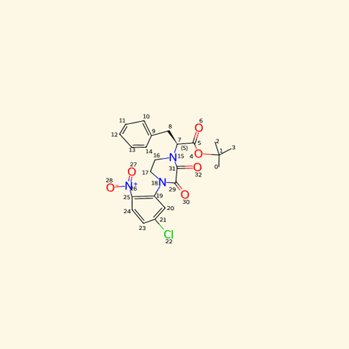 CC(C)(C)OC(=O)[C@H](Cc1ccccc1)N1CCN(c2cc(Cl)ccc2[N+](=O)[O-])C(=O)C1=O